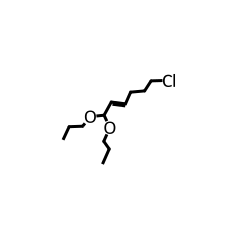 CCCOC(/C=C/CCCCl)OCCC